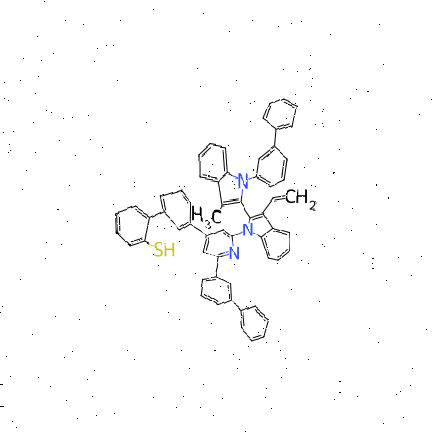 C=Cc1c(-c2c(C)c3ccccc3n2-c2cccc(-c3ccccc3)c2)n(-c2cc(-c3cccc(-c4ccccc4S)c3)cc(-c3cccc(-c4ccccc4)c3)n2)c2ccccc12